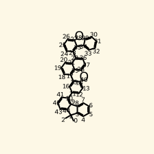 CC1(C)c2ccccc2-c2c(-c3ccc4c(c3)-c3cccc5c(-c6cccc7oc8ccccc8c67)ccc(c35)O4)cccc21